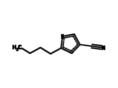 CCCCc1cc(C#N)cs1